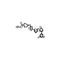 CN(c1nc(-c2cccc(Cn3nc(-c4cc(F)cc(F)c4)ccc3=O)c2)no1)C1CCN(C(=O)OC(C)(C)C)CC1